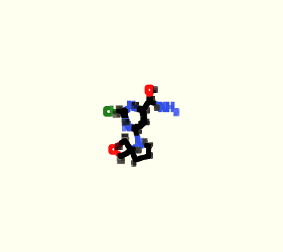 NC(=O)c1cc(N2CCCC23COC3)nc(Cl)n1